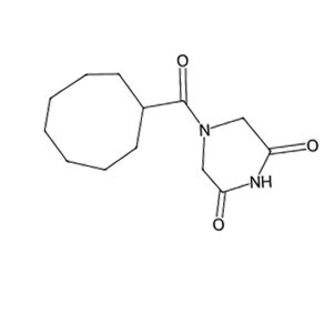 O=C1CN(C(=O)C2CCCCCCC2)CC(=O)N1